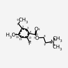 CCc1cc(C(=O)OCCN(C)C)c(F)cc1C